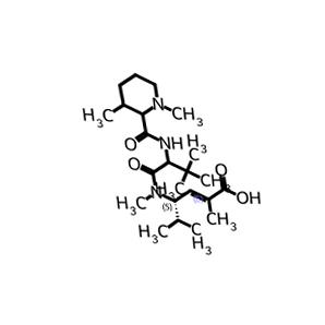 C/C(=C\[C@H](C(C)C)N(C)C(=O)C(NC(=O)C1C(C)CCCN1C)C(C)(C)C)C(=O)O